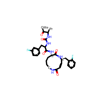 COC(=O)C(NC(=O)NC(Cc1cccc(F)c1)C(=O)N[C@H]1CCCCNC(=O)C=C[C@H](Cc2ccccc2F)NC1=O)C(C)C